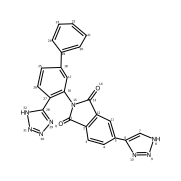 O=C1c2ccc(-c3c[nH]nn3)cc2C(=O)N1c1cc(-c2ccccc2)ccc1-c1nnn[nH]1